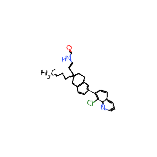 CCCCC1(CCNC=O)CCc2cc(-c3ccc4cccnc4c3Cl)ccc2C1